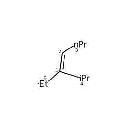 C[CH]C(=CCCC)C(C)C